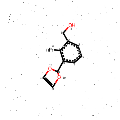 CCCc1c(CO)cccc1C1OC=CO1